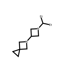 CCC(CC)N1CC(N2CC3(CC3)C2)C1